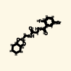 O=C(CNC(=O)c1cc(Br)ccc1F)NCB1OC2CCCCC2O1